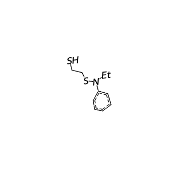 CCN(SCCS)c1ccccc1